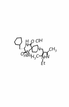 CCCCN1C(=O)[C@H](CC2CCCCC2)NC(=O)C12CCN(Cc1c(C)nn(CC)c1C)CC2.Cl